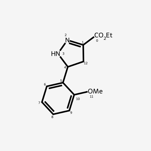 CCOC(=O)C1=NNC(c2ccccc2OC)C1